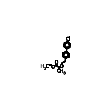 CCOC(=O)C(C)OCCc1ccc(-c2ccc(Cl)cc2)cc1